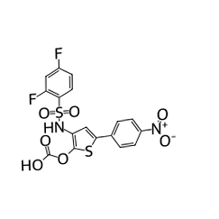 O=C(O)Oc1sc(-c2ccc([N+](=O)[O-])cc2)cc1NS(=O)(=O)c1ccc(F)cc1F